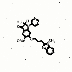 COc1cc2c(cc1OCCCc1nc3ccccc3n1C)N(c1cccnc1)C(C)(C)C2=O